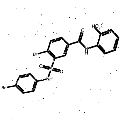 O=C(Nc1ccccc1C(=O)O)c1ccc(Br)c(S(=O)(=O)Nc2ccc(Br)cc2)c1